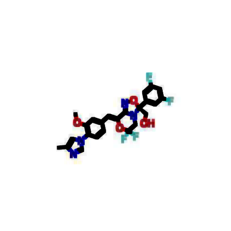 COc1cc(/C=C2\OC(F)(F)CN3C2=NO[C@]3(CO)c2cc(F)cc(F)c2)ccc1-n1cnc(C)c1